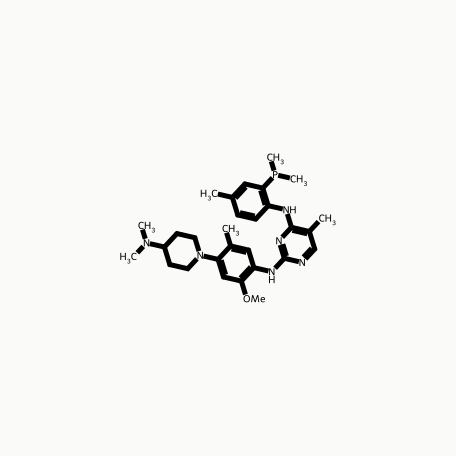 COc1cc(N2CCC(N(C)C)CC2)c(C)cc1Nc1ncc(C)c(Nc2ccc(C)cc2P(C)C)n1